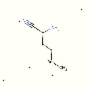 C[Se]CCC(N)C#N